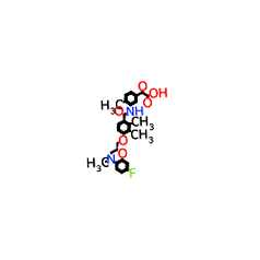 Cc1ccc(C(=O)C(=O)O)cc1NC(=O)c1ccc(OC[C@@H]2CN(C)c3ccc(F)cc3O2)c(C)c1C